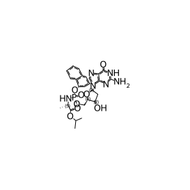 CC(C)OC(=O)[C@H](C)NP(=O)(OC[C@H]1O[C@@H](n2cnc3c(=O)[nH]c(N)nc32)C[C@H]1O)Oc1cccc2ccccc12